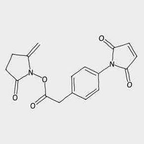 C=C1CCC(=O)N1OC(=O)Cc1ccc(N2C(=O)C=CC2=O)cc1